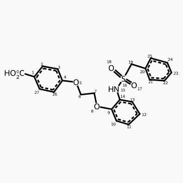 O=C(O)c1ccc(OCCOc2ccccc2NS(=O)(=O)Cc2ccccc2)cc1